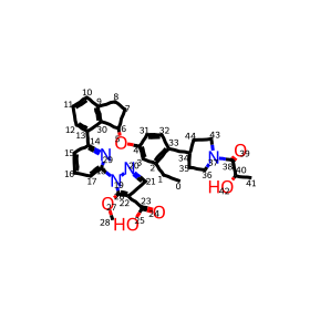 CCc1cc(OC2CCc3cccc(-c4cccc(-n5ncc(C(=O)O)c5OC)n4)c32)ccc1C1CCN(C(=O)C(C)O)CC1